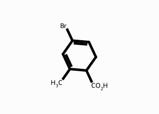 CC1=CC(Br)=CCC1C(=O)O